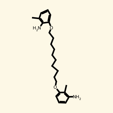 Cc1cccc(OCCCCCCCCCCOc2cccc(N)c2C)c1N